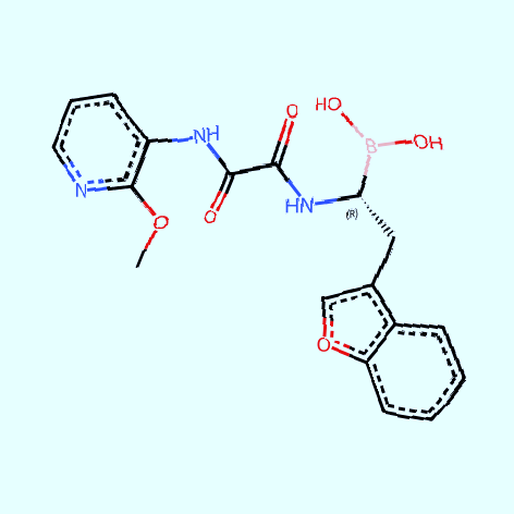 COc1ncccc1NC(=O)C(=O)N[C@@H](Cc1coc2ccccc12)B(O)O